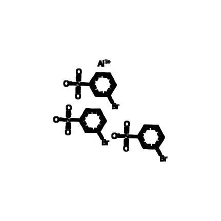 O=S(=O)([O-])c1cccc(Br)c1.O=S(=O)([O-])c1cccc(Br)c1.O=S(=O)([O-])c1cccc(Br)c1.[Al+3]